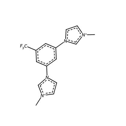 C[n+]1ccn(-c2cc(-n3cc[n+](C)c3)cc(C(F)(F)F)c2)c1